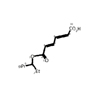 CCCC(CC)OC(=O)C=CC=CC(=O)O